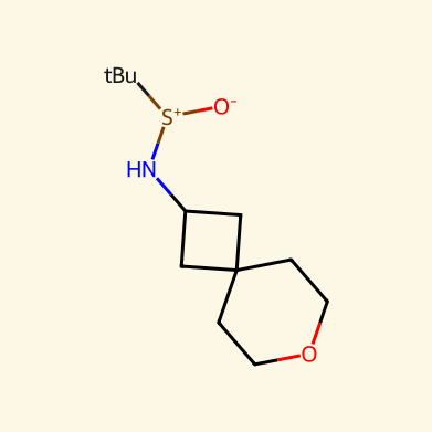 CC(C)(C)[S+]([O-])NC1CC2(CCOCC2)C1